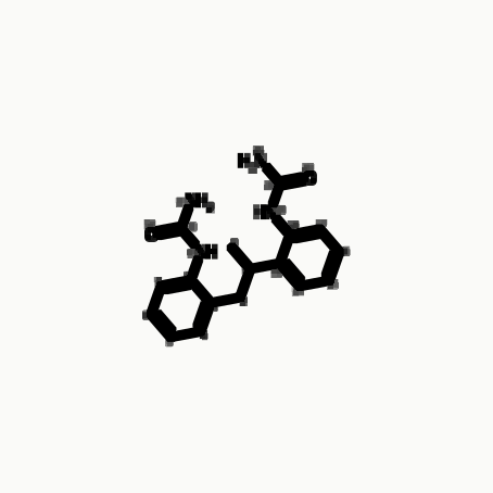 CC(Cc1ccccc1NC(N)=O)c1ccccc1NC(N)=O